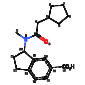 CN(C(=O)CC1CCCC1)C1CCc2ccc(C(=O)O)cc21